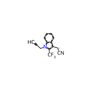 C#CCn1c(C(F)(F)F)c([CH]C#N)c2ccccc21